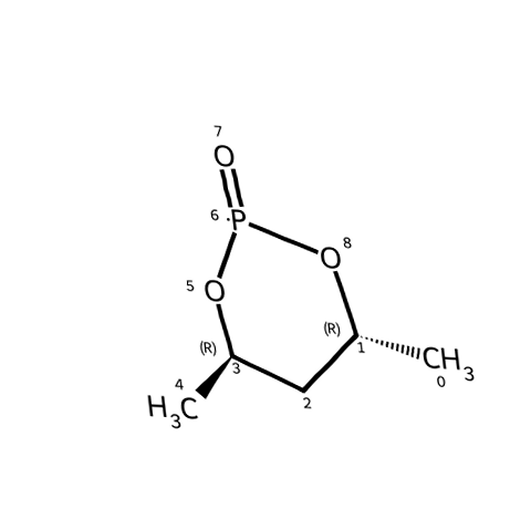 C[C@@H]1C[C@@H](C)O[P](=O)O1